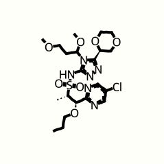 CCCO[C@@H](c1ncc(Cl)cn1)[C@H](C)S(=O)(=O)Nc1nnc([C@@H]2COCCO2)n1C(CCOC)OC